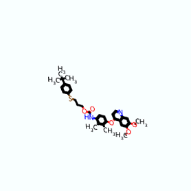 COc1cc2nccc(Oc3ccc(NC(=O)OCCCSc4ccc(C(C)(C)C)cc4)c(C)c3C)c2cc1OC